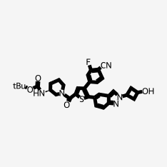 CC(C)(C)OC(=O)N[C@@H]1CCCN(C(=O)c2cc(-c3ccc(C#N)c(F)c3)c(-c3ccc4nn(C5CC(O)C5)cc4c3)s2)C1